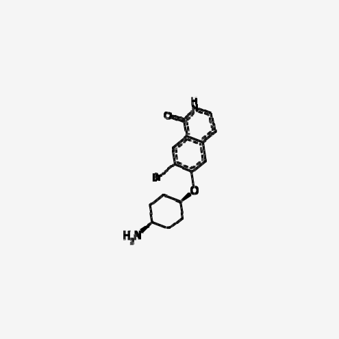 N[C@H]1CC[C@@H](Oc2cc3cc[nH]c(=O)c3cc2Br)CC1